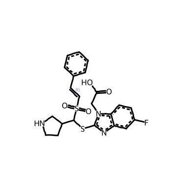 O=C(O)Cn1c(SC(C2CCNC2)S(=O)(=O)/C=C/c2ccccc2)nc2cc(F)ccc21